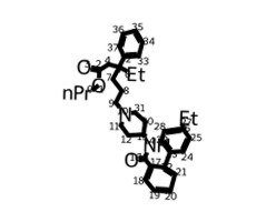 CCCOC(=O)CC(CC)(CCCN1CCC(NC(=O)c2ccccc2-c2ccc(CC)cc2)CC1)c1ccccc1